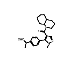 CC(C=O)c1ccc(-c2c(C(=O)N3CCCC4CCCCC43)cnn2C)cc1